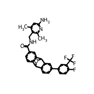 Cc1cc(N)nc(C)c1CNC(=O)c1ccc2c(c1)C1OC2c2ccc(-c3ccc(F)c(C(F)(F)F)c3)cc21